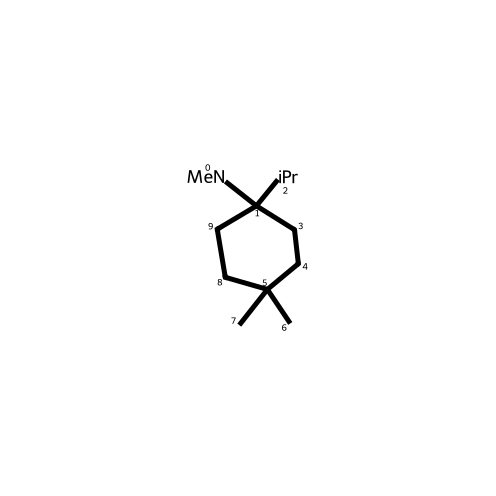 CNC1(C(C)C)CCC(C)(C)CC1